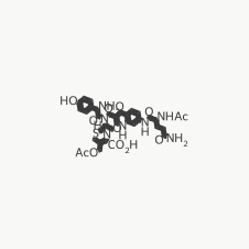 CC(=O)NC(CCC(N)=O)C(=O)Nc1ccc2c(=O)c(C(=O)N(C(=O)C(N)c3ccc(O)cc3)C3C(=O)N4C(C(=O)O)=C(COC(C)=O)CS[C@@H]34)c[nH]c2c1